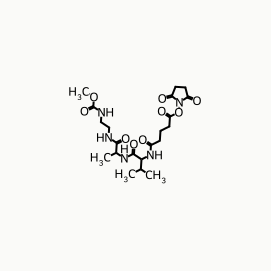 COC(=O)NCCNC(=O)C(C)NC(=O)C(NC(=O)CCCC(=O)ON1C(=O)CCC1=O)C(C)C